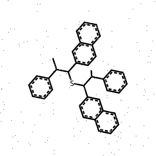 CC(c1ccccc1)C(SC(c1ccc2ccccc2c1)C(C)c1ccccc1)c1ccc2ccccc2c1